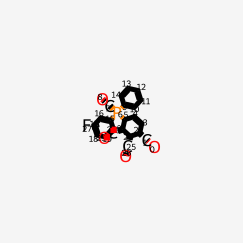 O=C=C1C=CC(P(=C=O)(c2ccccc2)c2ccccc2)C(=C=O)C1=C=O.[Fe]